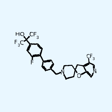 OC(c1ccc(-c2ccc(CN3CCC4(CC3)Cc3c(cncc3C(F)(F)F)O4)cc2)c(F)c1)(C(F)(F)F)C(F)(F)F